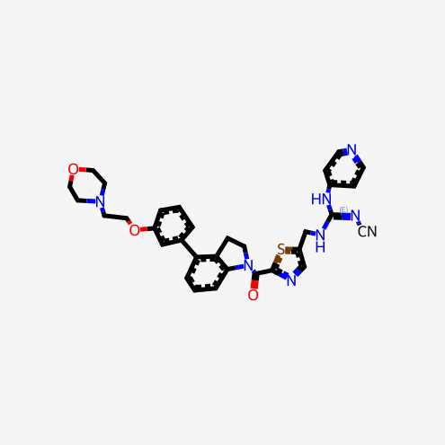 N#C/N=C(\NCc1cnc(C(=O)N2CCc3c(-c4cccc(OCCN5CCOCC5)c4)cccc32)s1)Nc1ccncc1